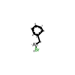 [Br][Al][CH2]c1ccccc1